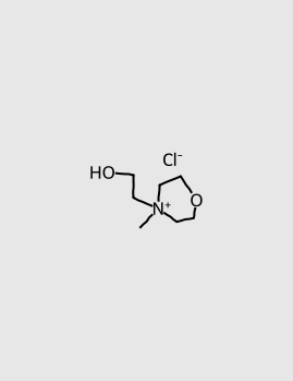 C[N+]1(CCO)CCOCC1.[Cl-]